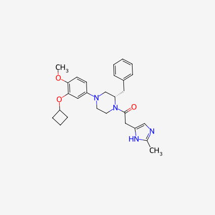 COc1ccc(N2CCN(C(=O)Cc3cnc(C)[nH]3)[C@@H](Cc3ccccc3)C2)cc1OC1CCC1